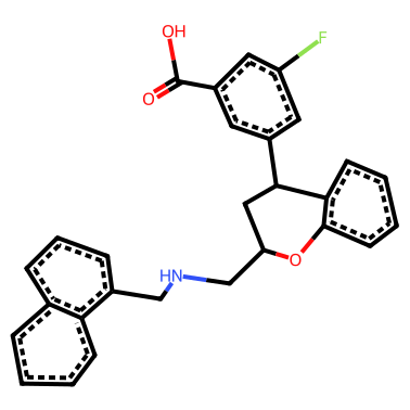 O=C(O)c1cc(F)cc(C2CC(CNCc3cccc4ccccc34)Oc3ccccc32)c1